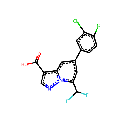 O=C(O)c1cnn2c(C(F)F)cc(-c3ccc(Cl)c(Cl)c3)cc12